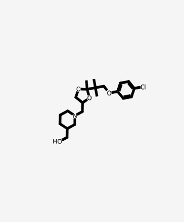 CC(C)(COc1ccc(Cl)cc1)C1(C)OCC(CN2CCCC(CO)C2)O1